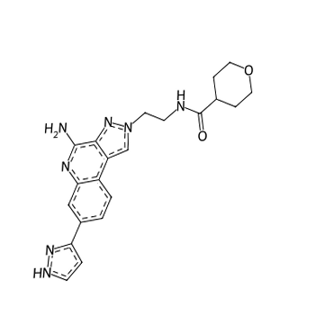 Nc1nc2cc(-c3cc[nH]n3)ccc2c2cn(CCNC(=O)C3CCOCC3)nc12